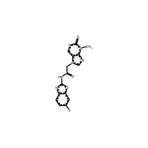 Cn1c(=O)ncc2c1ncn2CC(=O)Nc1nc2ccc(F)cc2s1